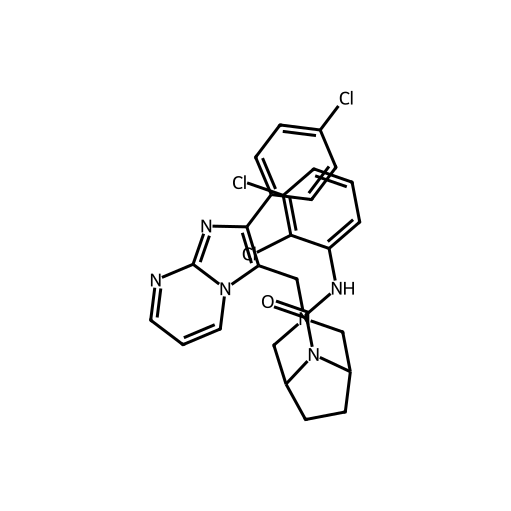 O=C(Nc1cccc(Cl)c1Cl)N1C2CCC1CN(Cc1c(-c3ccc(Cl)cc3)nc3ncccn13)C2